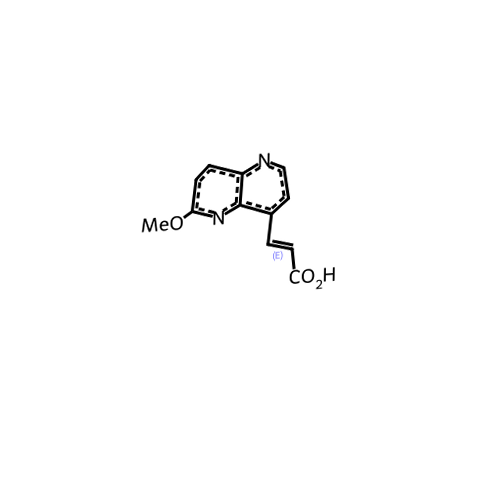 COc1ccc2nccc(/C=C/C(=O)O)c2n1